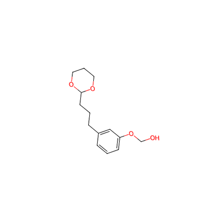 OCOc1cccc(CCCC2OCCCO2)c1